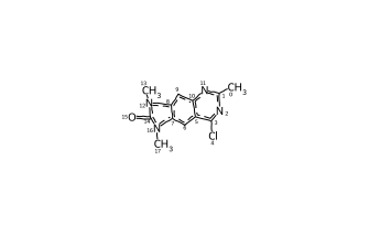 Cc1nc(Cl)c2cc3c(cc2n1)n(C)c(=O)n3C